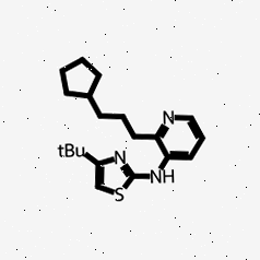 CC(C)(C)c1csc(Nc2cccnc2CCCC2CCCC2)n1